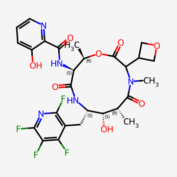 C[C@H]1OC(=O)C(C2COC2)N(C)C(=O)[C@H](C)[C@H](O)[C@H](Cc2c(F)nc(F)c(F)c2F)NC(=O)[C@H]1NC(=O)c1ncccc1O